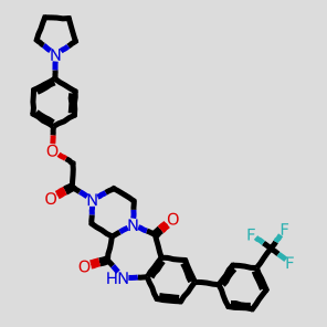 O=C1Nc2ccc(-c3cccc(C(F)(F)F)c3)cc2C(=O)N2CCN(C(=O)COc3ccc(N4CCCC4)cc3)CC12